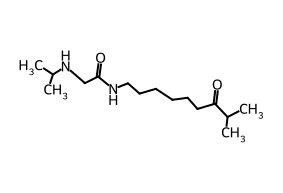 CC(C)NCC(=O)NCCCCCCC(=O)C(C)C